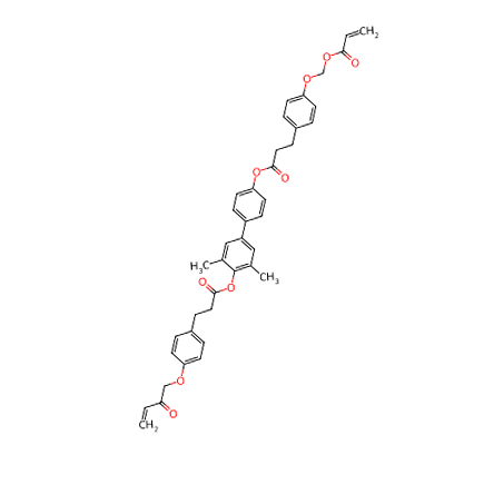 C=CC(=O)COc1ccc(CCC(=O)Oc2c(C)cc(-c3ccc(OC(=O)CCc4ccc(OCOC(=O)C=C)cc4)cc3)cc2C)cc1